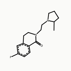 CC1CCCN1CCN1CCc2cc(F)ccc2C1=O